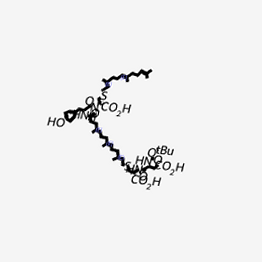 CC(C)=CCC/C(C)=C/CC/C(C)=C/CSC[C@H](NC(=O)C(Cc1ccc(O)cc1)NC(=O)CC/C(C)=C/CC/C(C)=C/CC/C(C)=C/CSC[C@H](NC(=O)C(CC(=O)O)NC(=O)OC(C)(C)C)C(=O)O)C(=O)O